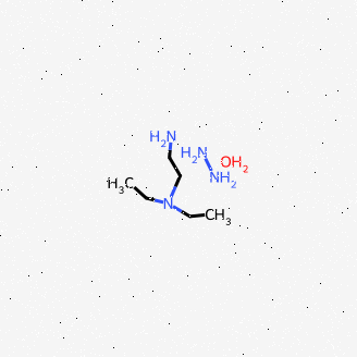 CCN(CC)CCN.NN.O